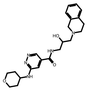 O=C(NCC(O)CN1CCc2ccccc2C1)c1cnnc(NC2CCOCC2)c1